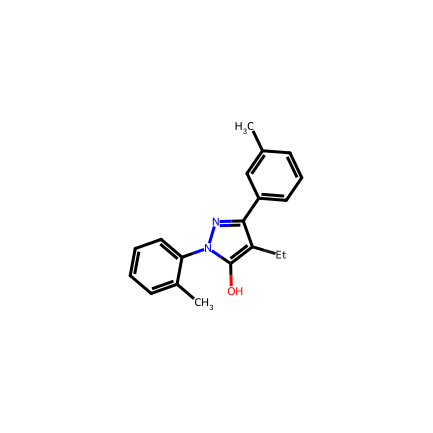 CCc1c(-c2cccc(C)c2)nn(-c2ccccc2C)c1O